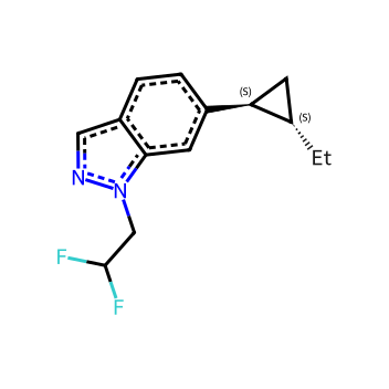 CC[C@H]1C[C@@H]1c1ccc2cnn(CC(F)F)c2c1